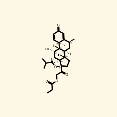 CCC(=O)OCC(=O)[C@@]1(OC(=O)C(C)C)CC[C@H]2[C@@H]3C[C@H](C)C4=CC(=O)C=C[C@]4(C)[C@H]3[C@@H](O)C[C@@]21C